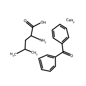 CC(C)CC(N)C(=O)O.O=C(c1ccccc1)c1ccccc1.[CaH2]